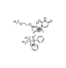 COCCON1C[C@]2(CO[Si](c3ccccc3)(c3ccccc3)C(C)(C)C)O[C@@H](n3ccc(=O)[nH]c3=O)[C@H]1[C@@H]2C